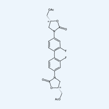 CC(=O)OC[C@H]1CN(c2ccc(-c3ccc(N4C[C@H](COC(C)=O)OC4=O)cc3F)c(F)c2)C(=O)O1